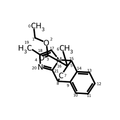 CCOC(=O)C1(C)CC2c3ccccc3C1n1cc(C)nc12